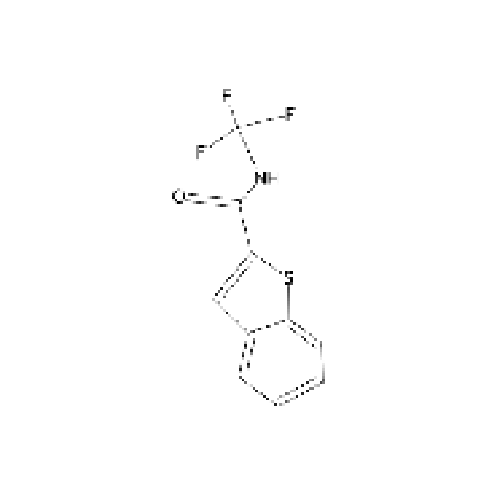 O=C(NC(F)(F)F)c1cc2ccccc2s1